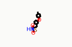 Cc1ccc(Oc2cccc(C=C3SC(=O)NC3=O)c2)cc1